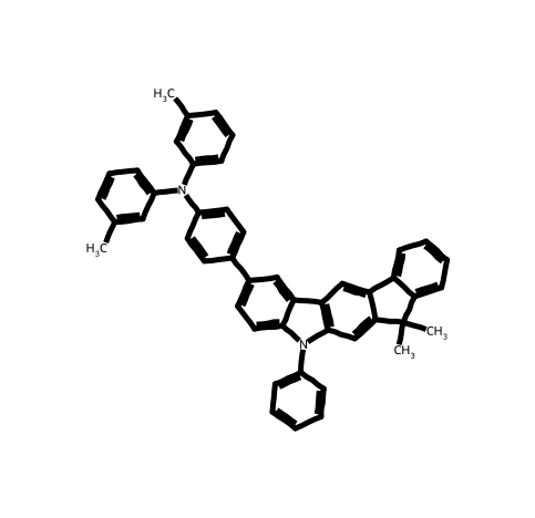 Cc1cccc(N(c2ccc(-c3ccc4c(c3)c3cc5c(cc3n4-c3ccccc3)C(C)(C)c3ccccc3-5)cc2)c2cccc(C)c2)c1